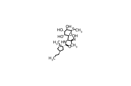 CCC[C@@H]1C[C@@H](C(=O)N[C@H](/C(C)=N\O)[C@H]2O[C@H](SC)[C@H](O)[C@@H](O)[C@H]2O)N(C)C1